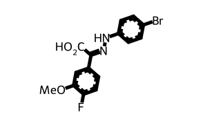 COc1cc(/C(=N/Nc2ccc(Br)cc2)C(=O)O)ccc1F